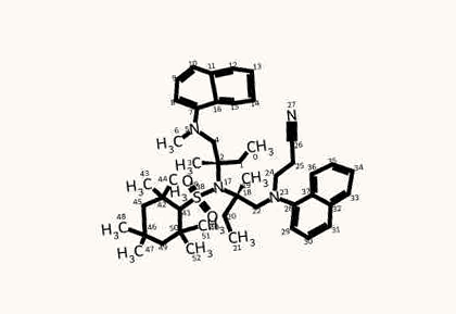 CC[C@@](C)(CN(C)c1cccc2ccccc12)N([C@@](C)(CC)CN(CCC#N)c1cccc2ccccc12)S(=O)(=O)C1C(C)(C)CC(C)(C)CC1(C)C